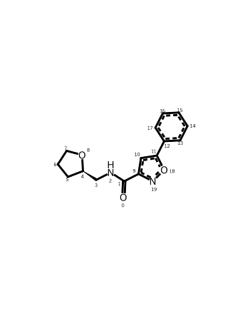 O=C(NC[C@H]1CCCO1)c1cc(-c2ccccc2)on1